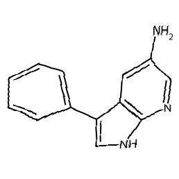 Nc1cnc2[nH]cc(-c3ccccc3)c2c1